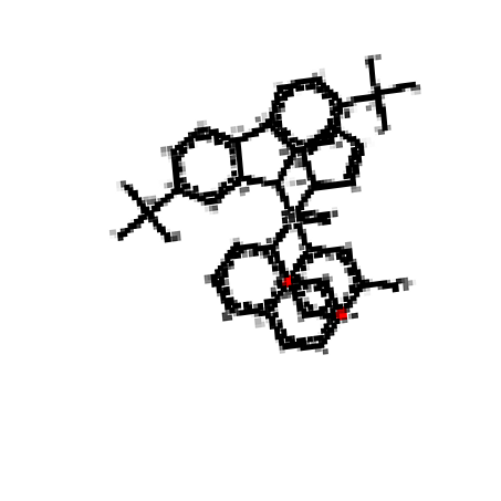 [CH2]=[Zr]([c]1cccc(Cl)c1)([c]1cccc2ccccc12)([CH]1C=CC=C1)[CH]1c2cc(C(C)(C)C)ccc2-c2ccc(C(C)(C)C)cc21